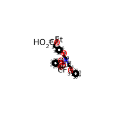 CCOC(Cc1ccc(OCCN(CCCOc2ccccc2)C(=O)Oc2ccccc2OC(F)(F)F)cc1)C(=O)O